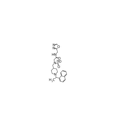 CC(c1cccc2ccccc12)N1CCC(CN(CC(=O)NCc2nnco2)[SH](=O)=O)CC1